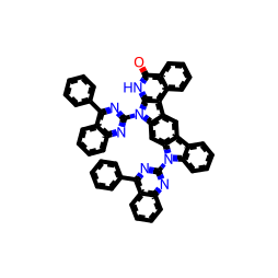 O=c1[nH]c2c(c3ccccc13)c1cc3c4ccccc4n(-c4nc(-c5ccccc5)c5ccccc5n4)c3cc1n2-c1nc(-c2ccccc2)c2ccccc2n1